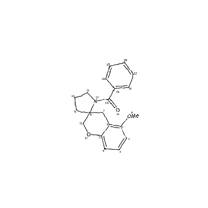 COc1cccc2c1CC1(CCCN1C(=O)c1ccccc1)CO2